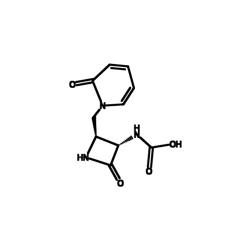 O=C(O)N[C@@H]1C(=O)N[C@H]1Cn1ccccc1=O